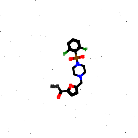 COC(=O)c1ccc(CN2CCN(S(=O)(=O)c3c(F)cccc3F)CC2)o1